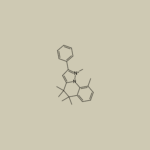 Cc1cccc2c1-n1c(cc(-c3ccccc3)[n+]1C)C(C)(C)C2(C)C